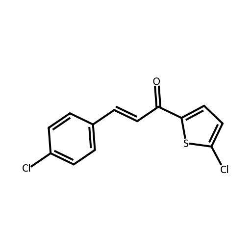 O=C(C=Cc1ccc(Cl)cc1)c1ccc(Cl)s1